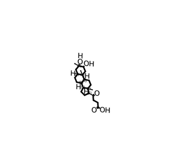 C[C@]12CC(O)[C@@](C)(O)C[C@@H]1CC[C@@H]1[C@@H]2CC[C@]2(C)[C@@H](C(=O)CCC(=O)O)CC[C@@H]12